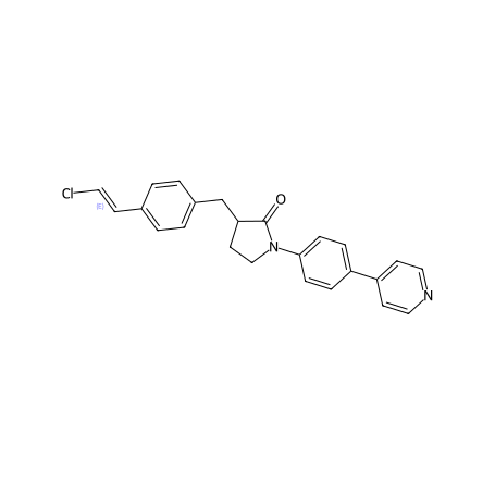 O=C1C(Cc2ccc(/C=C/Cl)cc2)CCN1c1ccc(-c2ccncc2)cc1